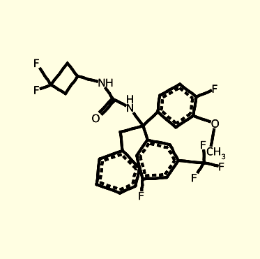 COc1cc(C(Cc2ccccc2)(NC(=O)NC2CC(F)(F)C2)c2cc(F)cc(C(F)(F)F)c2)ccc1F